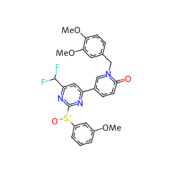 COc1cccc([S+]([O-])c2nc(-c3ccc(=O)n(Cc4ccc(OC)c(OC)c4)c3)cc(C(F)F)n2)c1